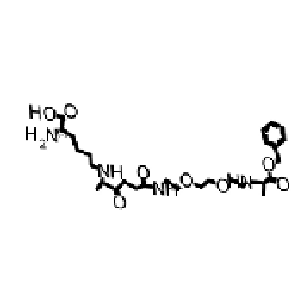 CC(NCCCC[C@H](N)C(=O)O)C(=O)CCC(=O)NCCOCCOCCNC(C)C(=O)OCc1ccccc1